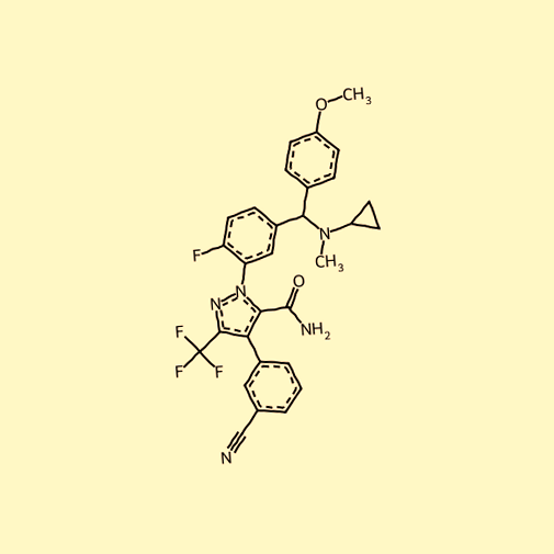 COc1ccc(C(c2ccc(F)c(-n3nc(C(F)(F)F)c(-c4cccc(C#N)c4)c3C(N)=O)c2)N(C)C2CC2)cc1